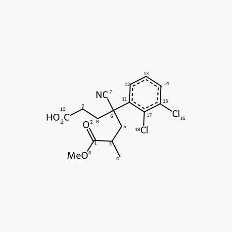 COC(=O)C(C)CC(C#N)(CCC(=O)O)c1cccc(Cl)c1Cl